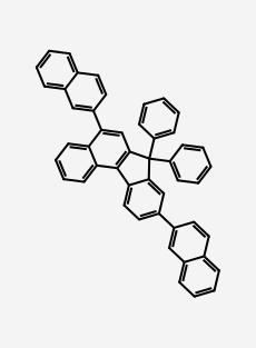 c1ccc(C2(c3ccccc3)c3cc(-c4ccc5ccccc5c4)ccc3-c3c2cc(-c2ccc4ccccc4c2)c2ccccc32)cc1